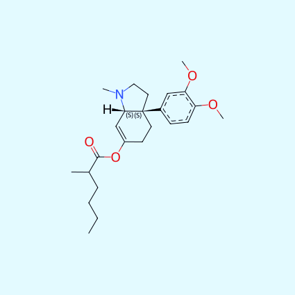 CCCCC(C)C(=O)OC1=C[C@@H]2N(C)CC[C@]2(c2ccc(OC)c(OC)c2)CC1